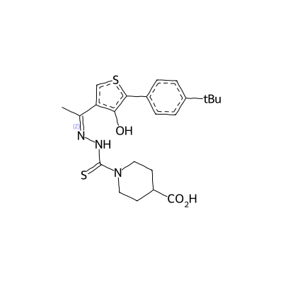 C/C(=N/NC(=S)N1CCC(C(=O)O)CC1)c1csc(-c2ccc(C(C)(C)C)cc2)c1O